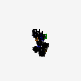 C=C/C=C\c1sc2c(-c3ccc(-n4c5ccccc5c5c6ccccc6c6sc7ccccc7c6c54)cc3)nc(Cl)nc2c1C